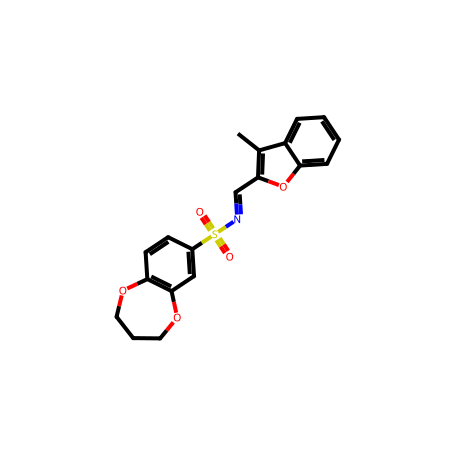 Cc1c(/C=N/S(=O)(=O)c2ccc3c(c2)OCCCO3)oc2ccccc12